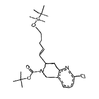 CC(C)(C)OC(=O)N1Cc2ccc(Cl)nc2CC1C=CCCO[Si](C)(C)C(C)(C)C